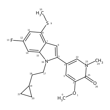 COc1cc(-c2cc3c(SC)cc(F)cc3n2CCC2CC2)cn(C)c1=O